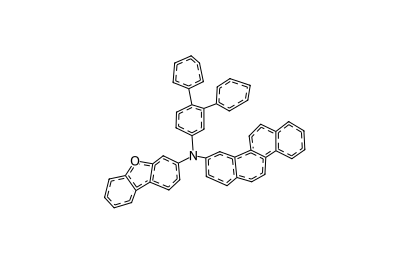 c1ccc(-c2ccc(N(c3ccc4c(c3)oc3ccccc34)c3ccc4ccc5c6ccccc6ccc5c4c3)cc2-c2ccccc2)cc1